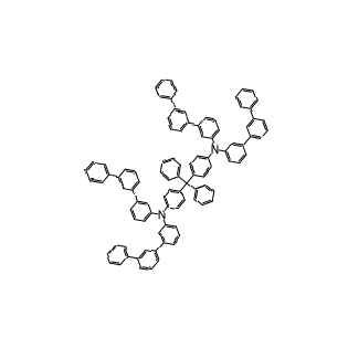 c1ccc(-c2cccc(-c3cccc(N(c4ccc(C(c5ccccc5)(c5ccccc5)c5ccc(N(c6cccc(-c7cccc(-c8ccccc8)c7)c6)c6cccc(-c7cccc(-c8ccccc8)c7)c6)cc5)cc4)c4cccc(-c5cccc(-c6ccccc6)c5)c4)c3)c2)cc1